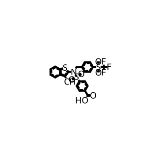 Cc1c(N(Cc2ccc(S(=O)(=O)C(F)(F)F)cc2)S(=O)(=O)c2ccc(C(=O)O)cc2)sc2ccccc12